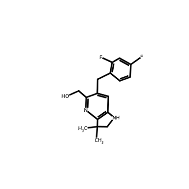 CC1(C)CNc2cc(Cc3ccc(F)cc3F)c(CO)nc21